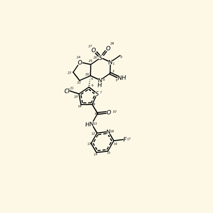 CN1C(=N)N[C@@]2(c3sc(C(=O)Nc4cccc(F)n4)cc3Cl)CCOC2S1(=O)=O